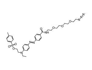 CCN(CCOS(=O)(=O)c1ccc(C)cc1)c1ccc(N=Nc2ccc(C(=O)NCCOCCOCCOCCN=[N+]=[N-])cc2)cc1